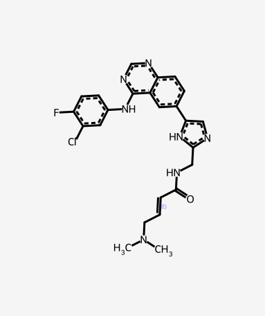 CN(C)C/C=C/C(=O)NCc1ncc(-c2ccc3ncnc(Nc4ccc(F)c(Cl)c4)c3c2)[nH]1